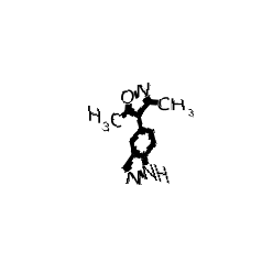 Cc1noc(C)c1-c1ccc2[nH]ncc2c1